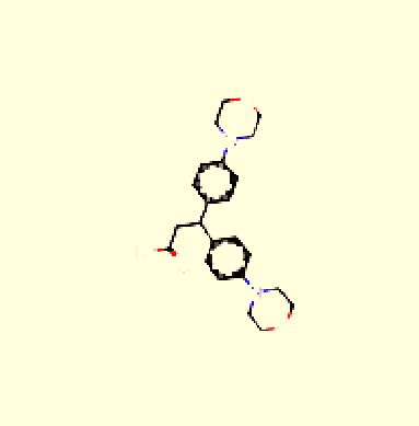 O=C(O)CC(c1ccc(N2CCOCC2)cc1)c1ccc(N2CCOCC2)cc1